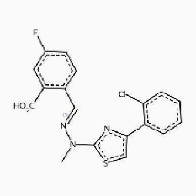 CN(/N=C/c1ccc(F)cc1C(=O)O)c1nc(-c2ccccc2Cl)cs1